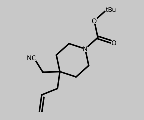 C=CCC1(CC#N)CCN(C(=O)OC(C)(C)C)CC1